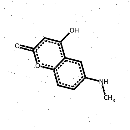 CNc1ccc2oc(=O)cc(O)c2c1